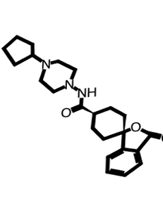 O=C1O[C@]2(CC[C@H](C(=O)NN3CCN(C4CCCC4)CC3)CC2)c2ccccc21